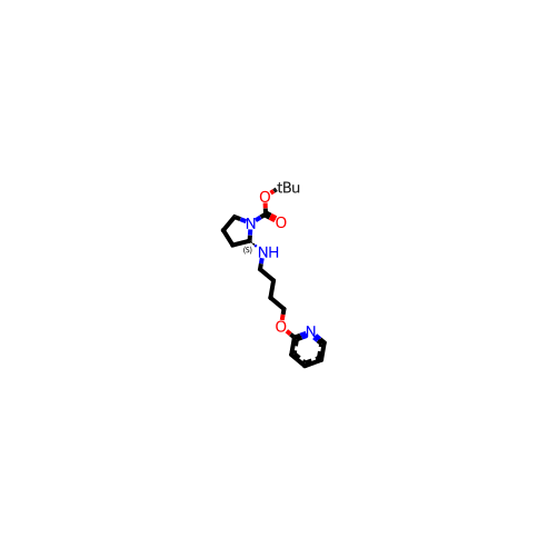 CC(C)(C)OC(=O)N1CCC[C@H]1NCCCCOc1ccccn1